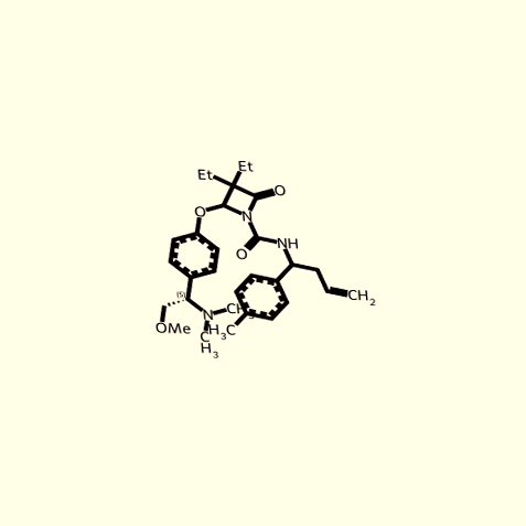 C=CCC(NC(=O)N1C(=O)C(CC)(CC)C1Oc1ccc([C@@H](COC)N(C)C)cc1)c1ccc(C)cc1